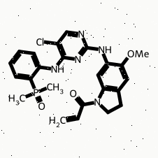 C=CC(=O)N1CCc2cc(OC)c(Nc3ncc(Cl)c(Nc4ccccc4P(C)(C)=O)n3)cc21